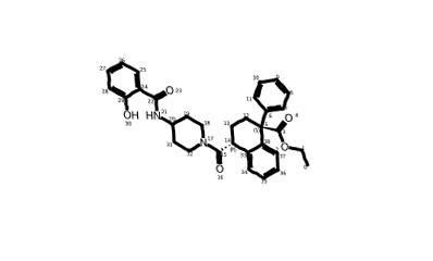 CCOC(=O)[C@]1(c2ccccc2)CC[C@@H](C(=O)N2CCC(NC(=O)c3ccccc3O)CC2)c2ccccc21